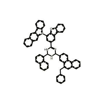 c1ccc(Cc2cc3ccccc3c3ccc(C4N=C(c5cc(-n6c7ccccc7c7cc8ccccc8cc76)c6oc7ccccc7c6c5)NC(c5cccc6ccccc56)N4)cc23)cc1